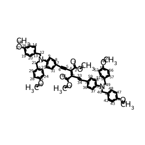 COC(=O)C(C#Cc1ccc(N(Cc2ccc(OC)cc2)Cc2ccc(OC)cc2)cc1)=C(C#Cc1ccc(N(Cc2ccc(OC)cc2)Cc2ccc(OC)cc2)cc1)C(=O)OC